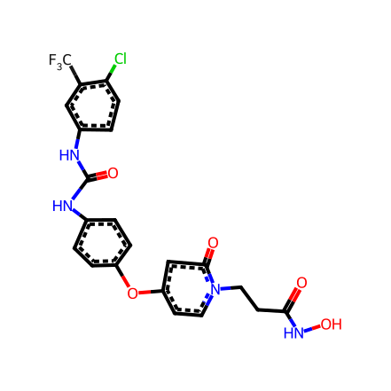 O=C(CCn1ccc(Oc2ccc(NC(=O)Nc3ccc(Cl)c(C(F)(F)F)c3)cc2)cc1=O)NO